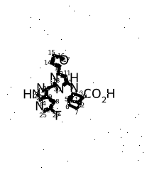 O=C(O)C1C2CCC(CC2)C1Nc1cc(-c2ccco2)nc(-c2n[nH]c3ncc(F)cc23)n1